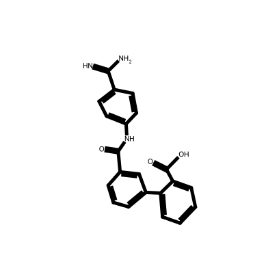 N=C(N)c1ccc(NC(=O)c2cccc(-c3ccccc3C(=O)O)c2)cc1